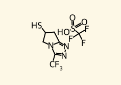 FC(F)(F)c1nnc2n1CC(S)C2.O=S(=O)(O)C(F)(F)F